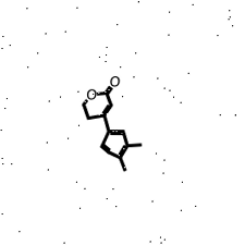 Cc1ccc(C2=CC(=O)OCC2)cc1C